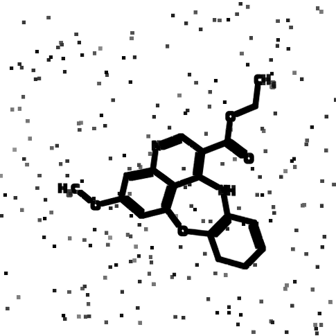 CCOC(=O)c1cnc2cc(OC)cc3c2c1NC1=C(CCC=C1)O3